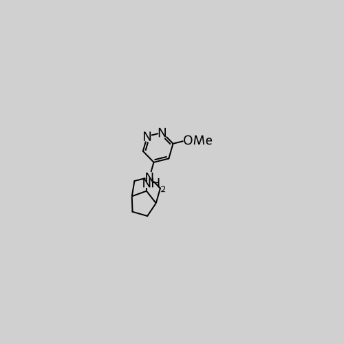 COc1cc(N2CC3CCC(C2)C3N)cnn1